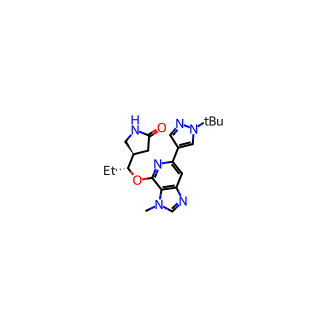 CC[C@@H](Oc1nc(-c2cnn(C(C)(C)C)c2)cc2ncn(C)c12)[C@H]1CNC(=O)C1